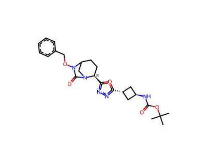 CC(C)(C)OC(=O)N[C@H]1C[C@H](c2nnc([C@@H]3CCC4CN3C(=O)N4OCc3ccccc3)o2)C1